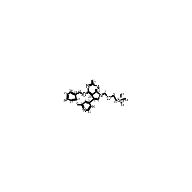 Cc1cc(-c2cn(COCC[Si](C)(C)C)c3nc(C)nc(OCc4ccccc4)c23)ccn1